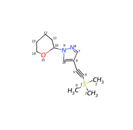 CS(C)(C)C#Cc1cnn(C2CCCCO2)c1